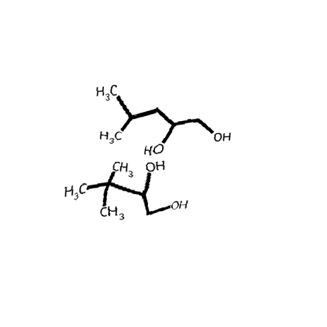 CC(C)(C)C(O)CO.CC(C)CC(O)CO